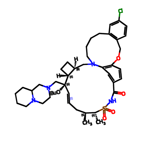 CC(C)CO[C@]1(CN2CCN3CCCCC3C2)/C=C/C[C@H](C)[C@@H](C)S(=O)(=O)NC(=O)c2ccc3c(c2)N(CCCCc2cc(Cl)ccc2CO3)C[C@@H]2CC[C@H]21